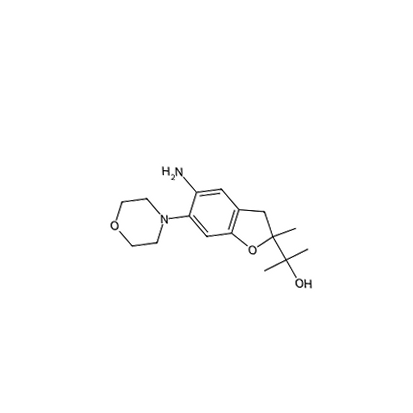 CC(C)(O)C1(C)Cc2cc(N)c(N3CCOCC3)cc2O1